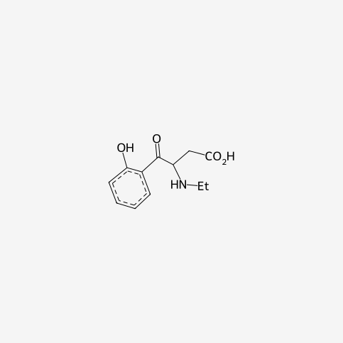 CCNC(CC(=O)O)C(=O)c1ccccc1O